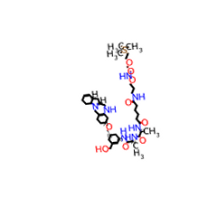 C[C@H](NC(=O)CCCCC(=O)NCCCONOCOCCS(C)(C)C)C(=O)N[C@@H](C)C(=O)N[C@@H]1C=C(CO)C[C@H](CO[C@@H]2CCC3=C(C2)NC[C@H]2C[C@H]4C=CCCC4N2C3)C1